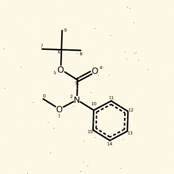 CON(C(=O)OC(C)(C)C)c1ccccc1